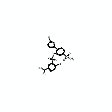 CCc1ccc(C(O)O)cc1S(=O)(=O)Nc1cc(S(C)(=O)=O)ccc1-c1ccc(F)s1